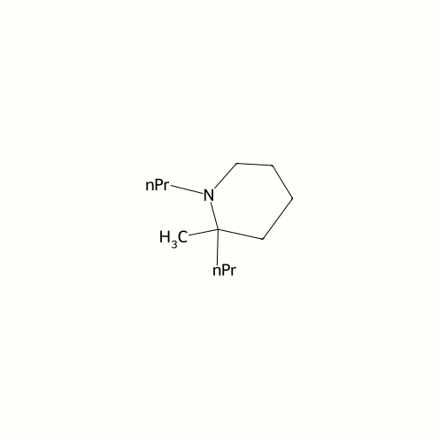 CCCN1CCCCC1(C)CCC